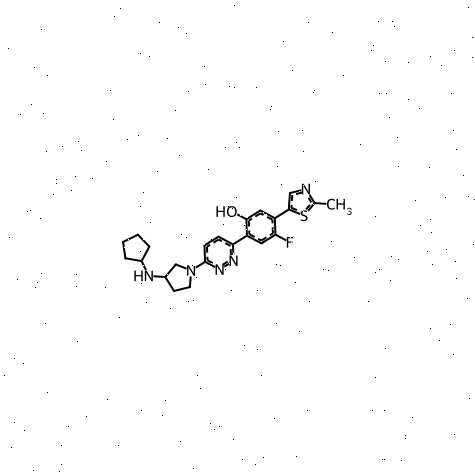 Cc1ncc(-c2cc(O)c(-c3ccc(N4CCC(NC5CCCC5)C4)nn3)cc2F)s1